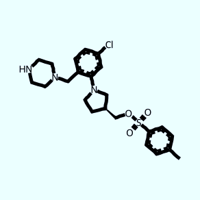 Cc1ccc(S(=O)(=O)OC[C@H]2CCN(c3cc(Cl)ccc3CN3CCNCC3)C2)cc1